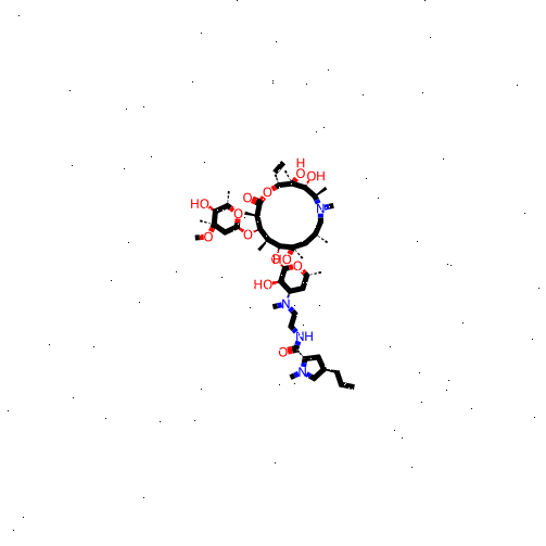 CCC[C@@H]1C[C@@H](C(=O)NCCN(C)[C@H]2C[C@@H](C)O[C@@H](O[C@@H]3[C@@H](C)[C@H](O[C@H]4C[C@@](C)(OC)[C@@H](O)[C@H](C)O4)[C@@H](C)C(=O)O[C@H](CC)[C@@](C)(O)[C@H](O)[C@@H](C)N(C)C[C@H](C)C[C@@]3(C)O)[C@@H]2O)N(C)C1